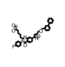 O=NC(=O)CCCCc1nc2c(c(=O)n1-c1ccc(F)cc1)=CCC(c1cc(COCc3cccc(-c4ccccc4)c3)on1)C=2